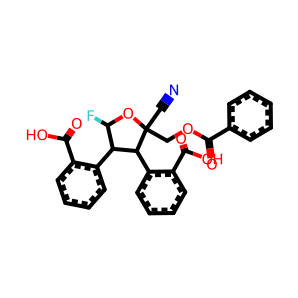 N#CC1(COC(=O)c2ccccc2)OC(F)C(c2ccccc2C(=O)O)C1c1ccccc1C(=O)O